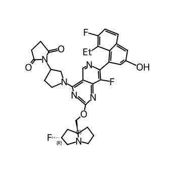 CCc1c(F)ccc2cc(O)cc(-c3ncc4c(N5CCC(N6C(=O)CCC6=O)C5)nc(OC[C@@]56CCCN5C[C@H](F)C6)nc4c3F)c12